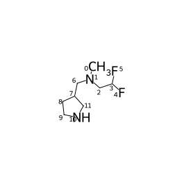 CN(CC(F)F)CC1CCNC1